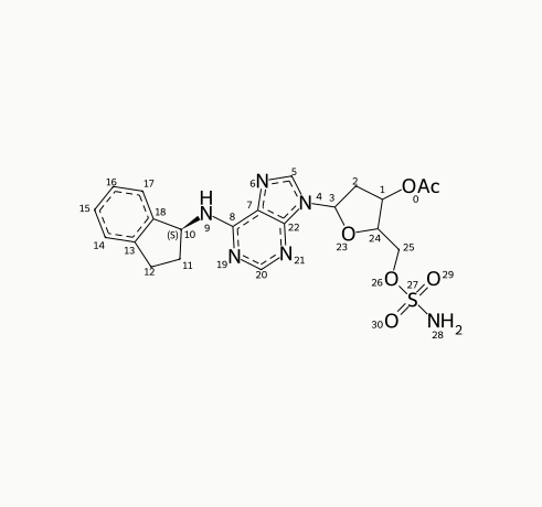 CC(=O)OC1CC(n2cnc3c(N[C@H]4CCc5ccccc54)ncnc32)OC1COS(N)(=O)=O